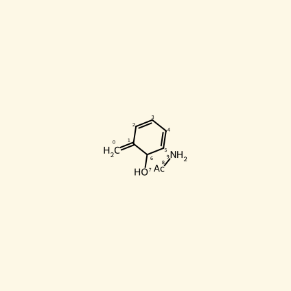 C=C1C=CC=CC1O.CC(N)=O